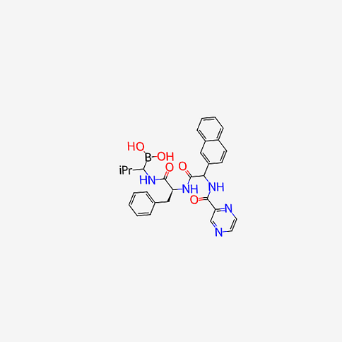 CC(C)C(NC(=O)[C@H](Cc1ccccc1)NC(=O)C(NC(=O)c1cnccn1)c1ccc2ccccc2c1)B(O)O